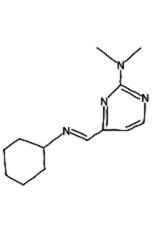 CN(C)c1nccc(/C=N/C2CCCCC2)n1